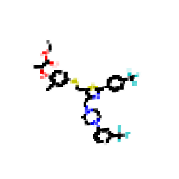 CCOC(=O)C(C)Oc1ccc(SCc2sc(-c3ccc(C(F)(F)F)cc3)nc2CN2CCN(c3cccc(C(F)(F)F)c3)CC2)cc1C